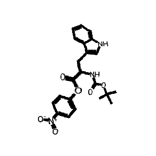 CC(C)(C)OC(=O)NC(Cc1c[nH]c2ccccc12)C(=O)Oc1ccc([N+](=O)[O-])cc1